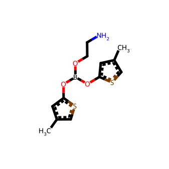 Cc1csc(OB(OCCN)Oc2cc(C)cs2)c1